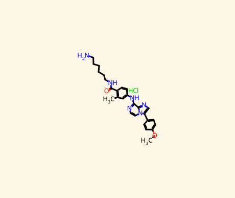 COc1ccc(-c2cnc3c(Nc4ccc(C(=O)NCCCCCCN)c(C)c4)nccn23)cc1.Cl